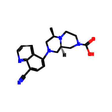 C[C@@H]1CN(c2ccc(C#N)c3ncccc23)C[C@@H]2CN(C(=O)O)CCN21